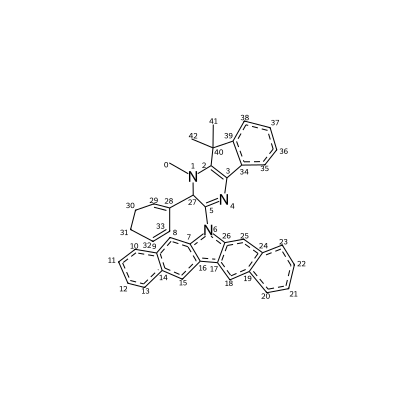 CN1C2=C(N=C(n3c4cc5ccccc5cc4c4cc5ccccc5cc43)C1C1=CCCC=C1)c1ccccc1C2(C)C